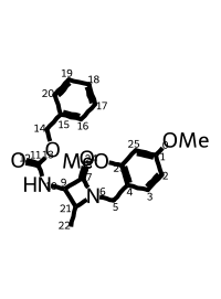 COc1ccc(CN2C(=O)C(NC(=O)OCc3ccccc3)C2C)c(OC)c1